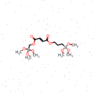 CO[Si](CCCOC(=O)/C=C/C(=O)OC[Si](OC)(OC)OC)(OC)OC